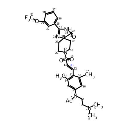 CC(=O)N(CCN(C)C)c1cc(C)c(/C=C/S(=O)(=O)N2CCC3(CC2)N=C(c2cccc(OC(F)(F)F)c2)NC3=O)c(C)c1